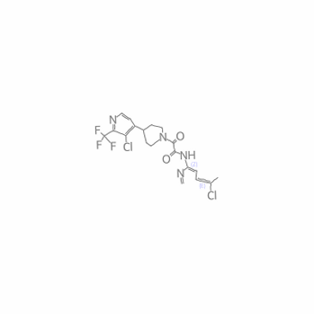 C=N/C(=C\C=C(/C)Cl)NC(=O)C(=O)N1CCC(c2ccnc(C(F)(F)F)c2Cl)CC1